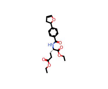 CCOC(=O)CC[C@H](NC(=O)c1ccc(C2CC=CO2)cc1)C(=O)OCC